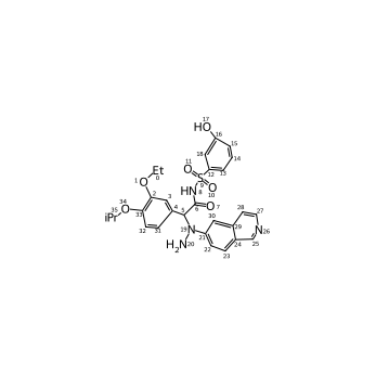 CCOc1cc(C(C(=O)NS(=O)(=O)c2cccc(O)c2)N(N)c2ccc3cnccc3c2)ccc1OC(C)C